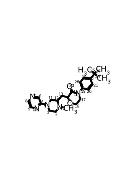 CN1CCN(c2cnccn2)CC1CC1OCCN(c2ccc(C(C)(C)C)cc2)C1=O